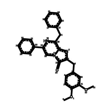 COc1ccc(Cc2nc3c(Cc4ccccc4)[nH]c(-c4ccccc4)cn-3c2=O)cc1OC